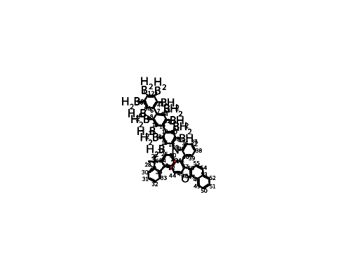 Bc1c(B)c(B)c(-c2c(B)c(B)c(-c3c(B)c(B)c(N(c4ccc5c(c4)C(C)(C)c4ccccc4-5)c4ccccc4-c4cccc5oc6c7ccccc7ccc6c45)c(B)c3B)c(B)c2B)c(B)c1B